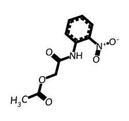 CC(=O)OCC(=O)Nc1ccccc1[N+](=O)[O-]